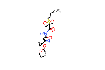 CC(C)(C(=O)Nc1cc(C2(OC3CCCCO3)CC2)no1)S(=O)(=O)CCCC(F)(F)F